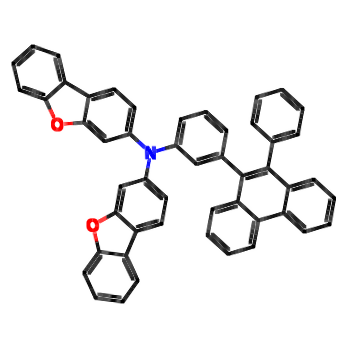 c1ccc(-c2c(-c3cccc(N(c4ccc5c(c4)oc4ccccc45)c4ccc5c(c4)oc4ccccc45)c3)c3ccccc3c3ccccc23)cc1